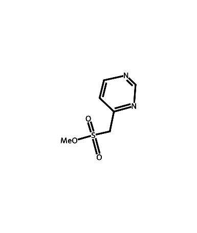 COS(=O)(=O)Cc1ccncn1